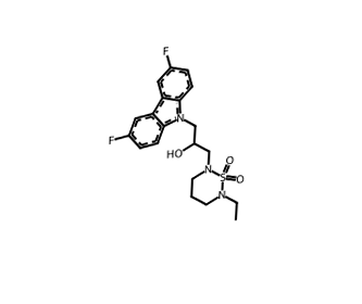 CCN1CCCN(CC(O)Cn2c3ccc(F)cc3c3cc(F)ccc32)S1(=O)=O